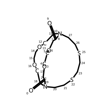 O=C1COCCOCC(=O)N2CCOCCOCCN1CCSCCSCC2